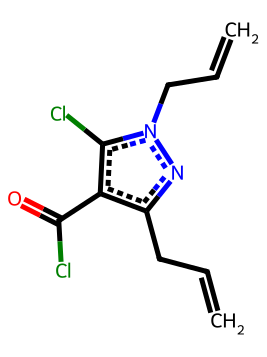 C=CCc1nn(CC=C)c(Cl)c1C(=O)Cl